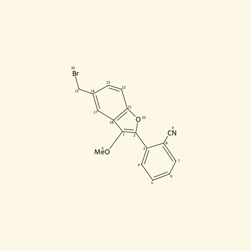 COc1c(-c2ccccc2C#N)oc2ccc(CBr)cc12